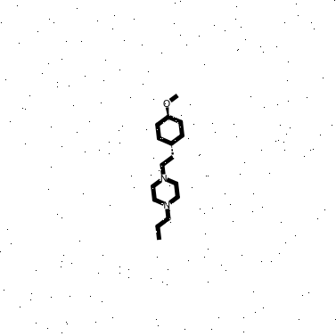 CCCN1CCN(CC[C@H]2CC[C@H](OC)CC2)CC1